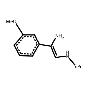 CCCN/C=C(\N)c1cccc(OC)c1